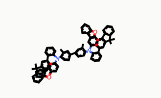 Cc1cc(-c2ccc(N(c3ccc4oc5ccccc5c4c3)c3ccccc3-c3ccc4c(c3)C(C)(C)c3ccccc3-4)c(C)c2)ccc1N(c1ccc2oc3ccccc3c2c1)c1ccccc1-c1ccc2c(c1)C(C)(C)c1ccccc1-2